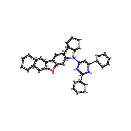 c1ccc(-c2cc(-n3c4ccccc4c4cc5c(cc43)oc3cc4ccccc4cc35)nc(-c3ccccc3)n2)cc1